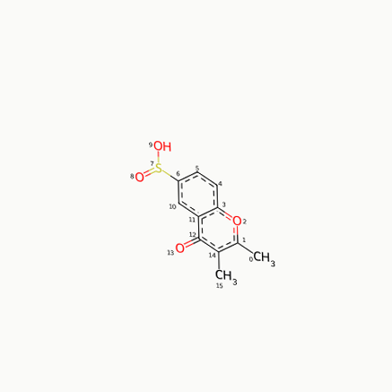 Cc1oc2ccc(S(=O)O)cc2c(=O)c1C